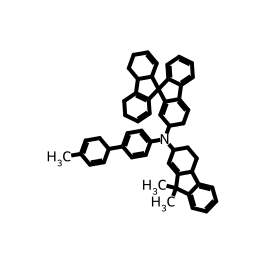 CC1=CCC(c2ccc(N(C3C=C4C(=CC3)c3ccccc3C43C4=C(CCC=C4)C4CCC=CC43)C3C=C4C(CC3)c3ccccc3C4(C)C)cc2)C=C1